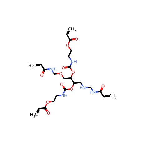 C=CC(=O)NCNCC(OC(=O)NCCOC(=O)C=C)C(COCNC(=O)C=C)OC(=O)NCCOC(=O)C=C